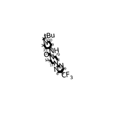 C[C@@H]1CN(c2ncc(C(F)(F)F)cn2)C[C@H](C)N1C(=O)NC1CCN(CC(C)(C)C)CC1